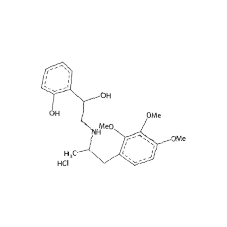 COc1ccc(CC(C)NCC(O)c2ccccc2O)c(OC)c1OC.Cl